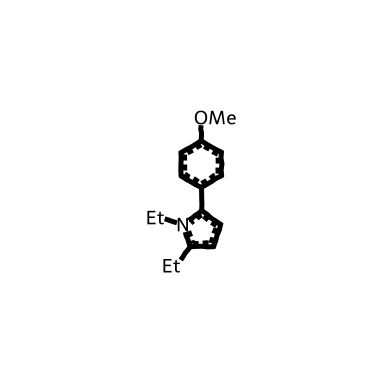 CCc1ccc(-c2ccc(OC)cc2)n1CC